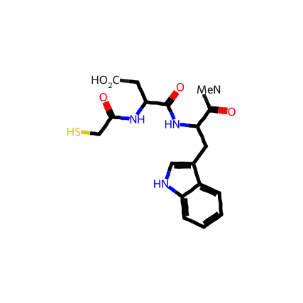 CNC(=O)C(Cc1c[nH]c2ccccc12)NC(=O)C(CC(=O)O)NC(=O)CS